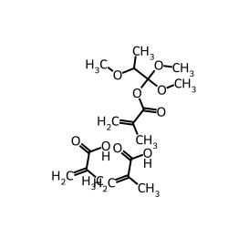 C=C(C)C(=O)O.C=C(C)C(=O)O.C=C(C)C(=O)OC(OC)(OC)C(C)OC